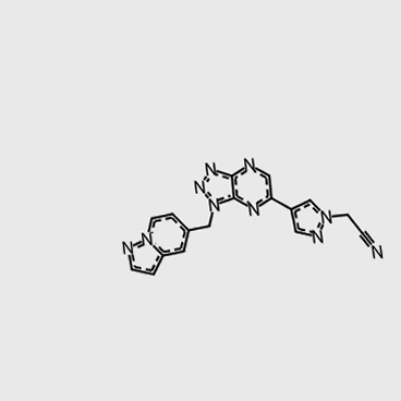 N#CCn1cc(-c2cnc3nnn(Cc4ccn5nccc5c4)c3n2)cn1